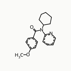 COc1ccc(C(=O)N(c2ccccn2)C2CCCCC2)cc1